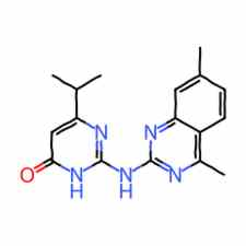 Cc1ccc2c(C)nc(Nc3nc(C(C)C)cc(=O)[nH]3)nc2c1